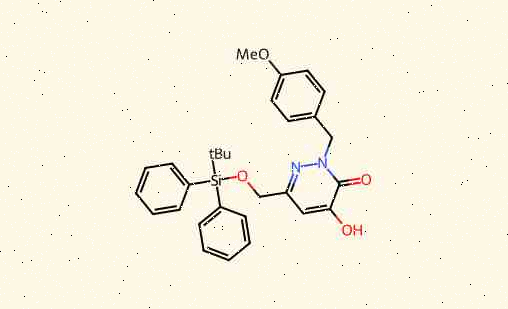 COc1ccc(Cn2nc(CO[Si](c3ccccc3)(c3ccccc3)C(C)(C)C)cc(O)c2=O)cc1